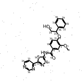 COc1cc(C(=O)Nc2nnc(-c3ccncn3)s2)ccc1OC(CO)c1ccccc1